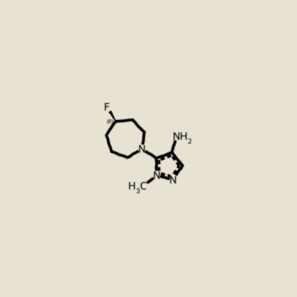 Cn1ncc(N)c1N1CCC[C@@H](F)CC1